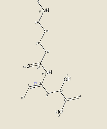 C=C(O)C(O)C/C(=C\C)NC(=O)CCCCNC